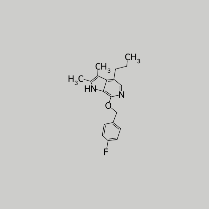 CCCc1cnc(OCc2ccc(F)cc2)c2[nH]c(C)c(C)c12